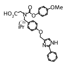 COc1ccc(OC(=O)N(CC(=O)O)[C@@H](CC(C)C)c2ccc(OCc3c[nH]c(-c4ccccc4)n3)cc2)cc1